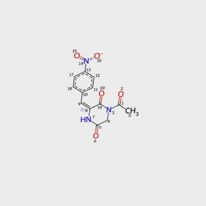 CC(=O)N1CC(=O)N/C(=C/c2ccc([N+](=O)[O-])cc2)C1=O